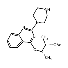 CC(=O)O[C@@H](C)[C@H](C)Oc1nc(N2CCNCC2)nc2ccccc12